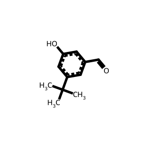 CC(C)(C)c1cc(O)cc(C=O)c1